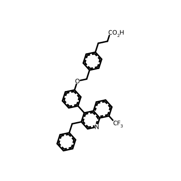 O=C(O)CCc1ccc(COc2cccc(-c3c(Cc4ccccc4)cnc4c(C(F)(F)F)cccc34)c2)cc1